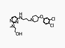 CN(CCO)c1nccc(NCCCN2CCC(Oc3ccc(Cl)c(Cl)c3)CC2)n1